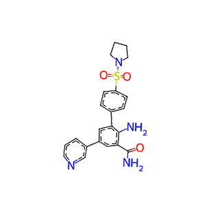 NC(=O)c1cc(-c2cccnc2)cc(-c2ccc(S(=O)(=O)N3CCCC3)cc2)c1N